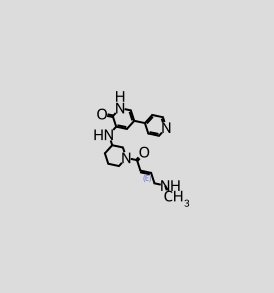 CNC/C=C/C(=O)N1CCCC(Nc2cc(-c3ccncc3)c[nH]c2=O)C1